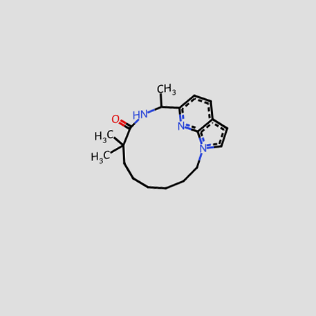 CC1NC(=O)C(C)(C)CCCCCCn2ccc3ccc1nc32